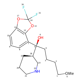 COCCCC[C@@](O)(c1cccc2c1OC(F)(F)O2)[C@@H]1CCCNC1